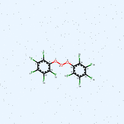 Fc1c(F)c(F)c(OOOc2c(F)c(F)c(F)c(F)c2F)c(F)c1F